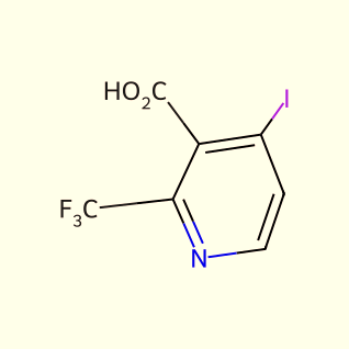 O=C(O)c1c(I)ccnc1C(F)(F)F